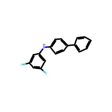 Fc1cc(F)cc(Nc2ccc(-c3ccccc3)cc2)c1